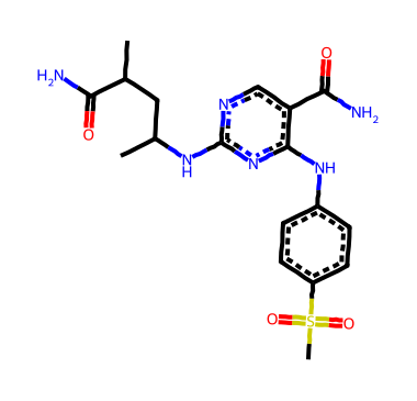 CC(CC(C)C(N)=O)Nc1ncc(C(N)=O)c(Nc2ccc(S(C)(=O)=O)cc2)n1